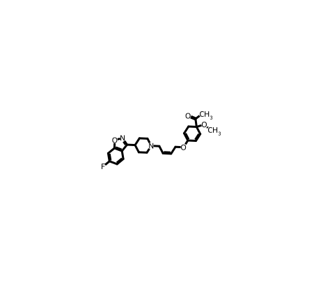 COC1(C(C)=O)C=CC(OC/C=C\CN2CCC(c3noc4cc(F)ccc34)CC2)=CC1